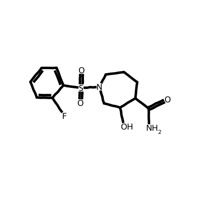 NC(=O)C1CCCN(S(=O)(=O)c2ccccc2F)CC1O